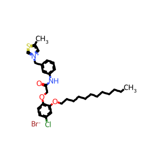 CCCCCCCCCCCCOc1cc(Cl)ccc1OCC(=O)Nc1cccc(C[n+]2csc(C)c2)c1.[Br-]